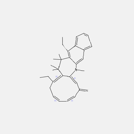 C=C1/C=C\C=C/C/C(CC)=C2\C(=C/1)N(C)c1cc3ccccc3c(CC)c1C(C)(C)C2(C)C